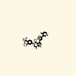 Cc1ccncc1-c1cc(-c2cnn3c2C(=O)N(c2ccc(C(F)(F)F)c(Cl)c2)C[C@@H]3C)no1